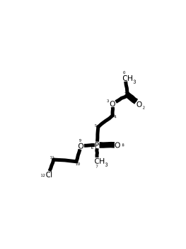 CC(=O)OCCP(C)(=O)OCCCl